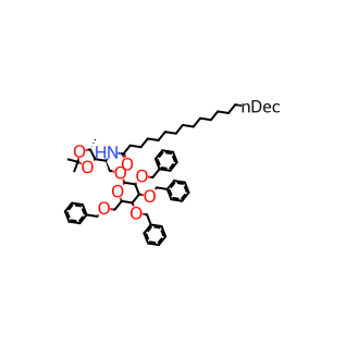 CCCCCCCCCCCCCCCCCCCCCCCC(=O)N[C@@H](COC1OC(COCc2ccccc2)C(OCc2ccccc2)C(OCc2ccccc2)C1OCc1ccccc1)[C@@H]1OC(C)(C)O[C@@H]1C